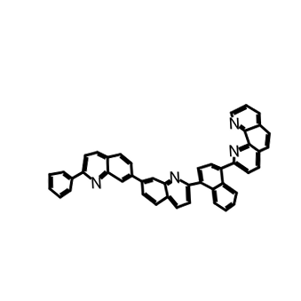 c1ccc(-c2ccc3ccc(-c4ccc5ccc(-c6ccc(-c7ccc8ccc9cccnc9c8n7)c7ccccc67)nc5c4)cc3n2)cc1